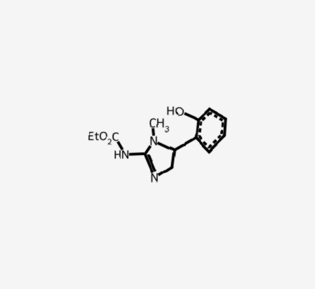 CCOC(=O)NC1=NCC(c2ccccc2O)N1C